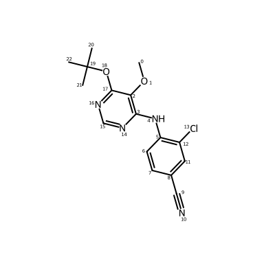 COc1c(Nc2ccc(C#N)cc2Cl)ncnc1OC(C)(C)C